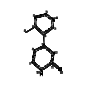 Cc1ccncc1-c1cc[nH]c(=O)c1